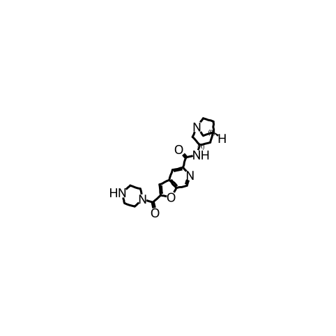 O=C(N[C@@H]1C[C@H]2CCN(C2)C1)c1cc2cc(C(=O)N3CCNCC3)oc2cn1